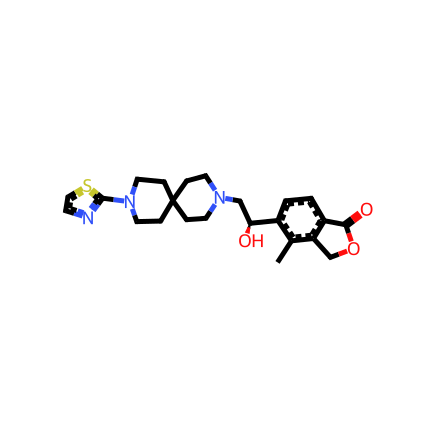 Cc1c([C@@H](O)CN2CCC3(CC2)CCN(c2nccs2)CC3)ccc2c1COC2=O